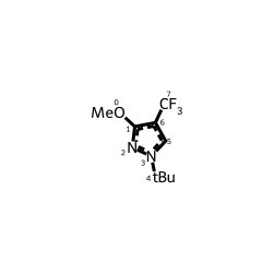 COc1nn(C(C)(C)C)cc1C(F)(F)F